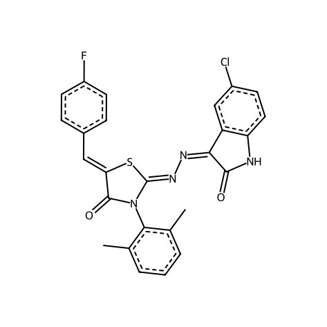 Cc1cccc(C)c1N1C(=O)C(=Cc2ccc(F)cc2)SC1=NN=C1C(=O)Nc2ccc(Cl)cc21